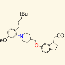 COc1ccc(CCCC(C)(C)C)c(N2CCC(COc3ccc4c(c3)C(CC(=O)O)CC4)CC2)c1